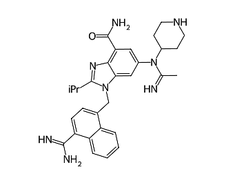 CC(=N)N(c1cc(C(N)=O)c2nc(C(C)C)n(Cc3ccc(C(=N)N)c4ccccc34)c2c1)C1CCNCC1